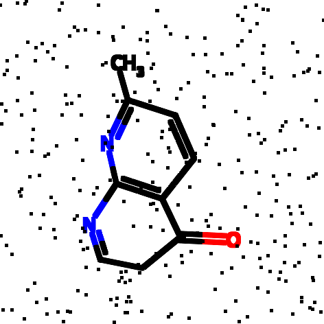 Cc1ccc2c(n1)N=CCC2=O